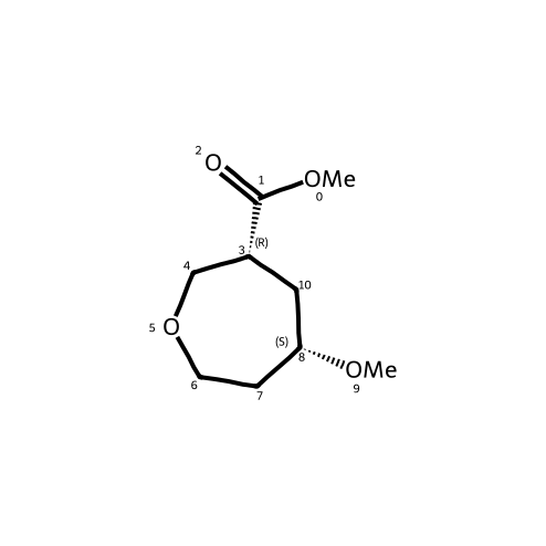 COC(=O)[C@H]1COCC[C@@H](OC)C1